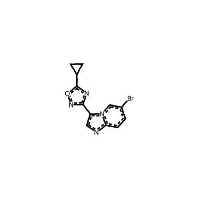 Brc1ccc2ncc(-c3noc(C4CC4)n3)n2c1